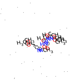 CC(C)C(NC(=O)OC(C)(C)C)C(=O)N[C@@H](C)C(=O)N1CCCC(C(=O)O[C@H](C)c2cc3cc(/C=C/CC(=O)OC(C)(C)C)ccc3nn2)N1